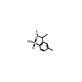 Cc1ccc(S(=O)(=O)O)c(C(C)CF)c1